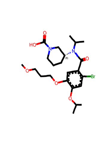 COCCCOc1cc(C(=O)N(C(C)C)[C@@H]2CCCN(C(=O)O)C2)c(Br)cc1OC(C)C